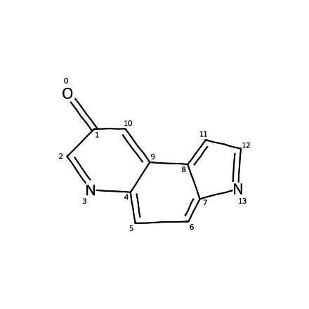 O=C1C=Nc2ccc3c(c2=C1)=CC=N3